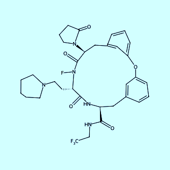 O=C(NCC(F)(F)F)[C@@H]1Cc2cccc(c2)Oc2cccc(c2)C[C@H](N2CCCC2=O)C(=O)N(F)[C@@H](CCN2CCCCC2)C(=O)N1